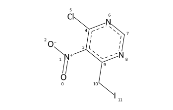 O=[N+]([O-])c1c(Cl)ncnc1CI